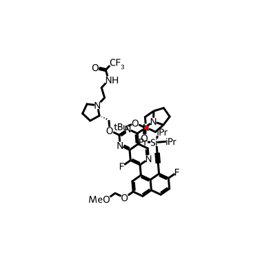 COCOc1cc(-c2ncc3c(N4CC5CCC(C4)N5C(=O)OC(C)(C)C)nc(OC[C@@H]4CCCN4CCNC(=O)C(F)(F)F)nc3c2F)c2c(C#C[Si](C(C)C)(C(C)C)C(C)C)c(F)ccc2c1